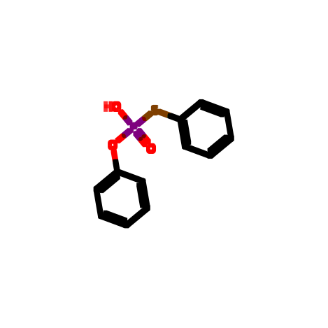 O=P(O)(Oc1ccccc1)Sc1ccccc1